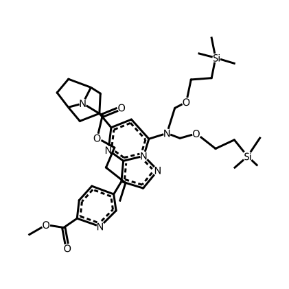 CCCCOC(=O)N1C2CCC1CC(c1cc(N(COCC[Si](C)(C)C)COCC[Si](C)(C)C)n3ncc(-c4ccc(C(=O)OC)nc4)c3n1)C2